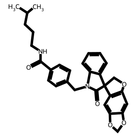 CC(C)CCCNC(=O)c1ccc(CN2C(=O)C3(COc4cc5c(cc43)OCO5)c3ccccc32)cc1